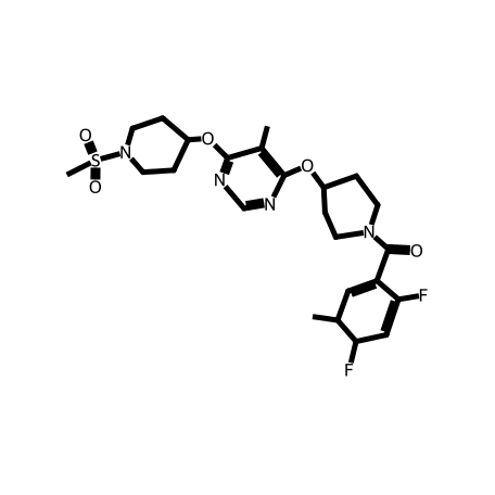 Cc1c(OC2CCN(C(=O)C3=CC(C)C(F)C=C3F)CC2)ncnc1OC1CCN(S(C)(=O)=O)CC1